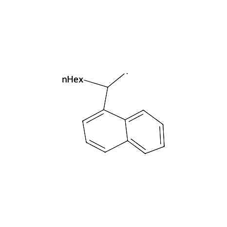 [CH2]C(CCCCCC)c1cccc2ccccc12